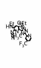 CCNc1cc(S(=O)(=O)CC)c(-c2nnc(-c3cc(C(F)(F)F)ccn3)n2C)nc1N=[N+]=[N-]